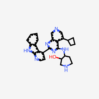 OC1CNCCC1Nc1nc(-c2ccnc3[nH]c4ccccc4c23)nc2cncc(C3CCC3)c12